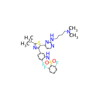 CC(C)c1nc(-c2ccc(F)c(NS(=O)(=O)c3c(F)cccc3F)c2)c(-c2ccnc(NCCCCN(C)C)n2)s1